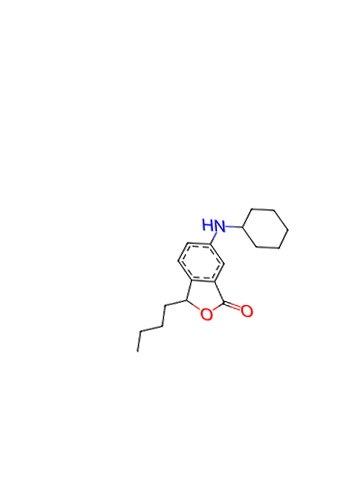 CCCCC1OC(=O)c2cc(NC3CCCCC3)ccc21